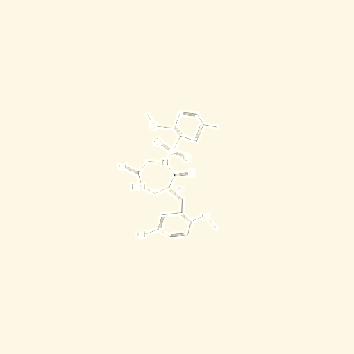 COc1ccc(Cl)cc1/C=C1\CNC(=O)CN(S(=O)(=O)c2cc(C)ccc2OC)C1=O